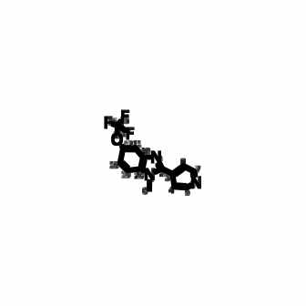 Cn1c(-c2ccncc2)nc2cc(OC(F)(F)F)ccc21